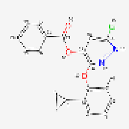 Cc1cccc(C2CC2)c1Oc1nnc(Cl)cc1OC(=O)c1ccccc1